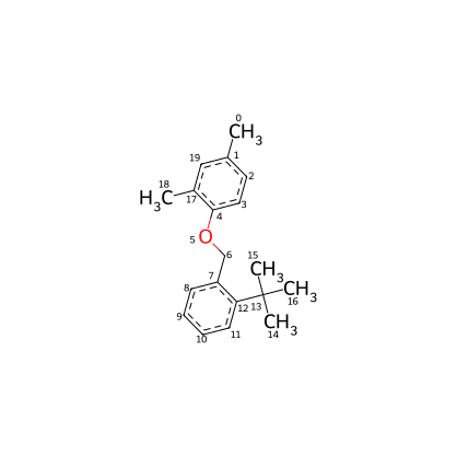 Cc1ccc(OCc2ccccc2C(C)(C)C)c(C)c1